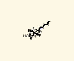 C=CC/C=C/C(=O)OC(CS(=O)(=O)O)(C(F)(F)F)C(F)(F)F